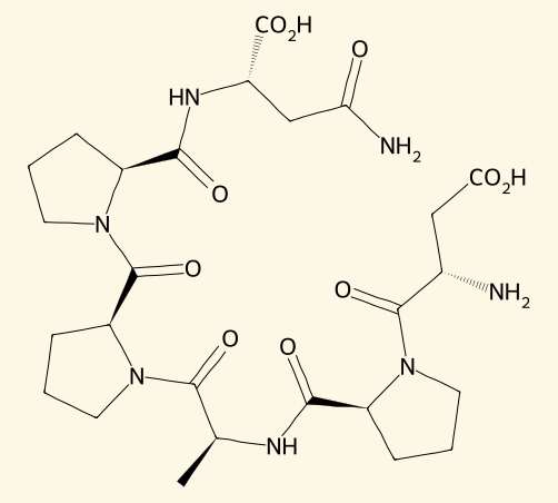 C[C@H](NC(=O)[C@@H]1CCCN1C(=O)[C@@H](N)CC(=O)O)C(=O)N1CCC[C@H]1C(=O)N1CCC[C@H]1C(=O)N[C@@H](CC(N)=O)C(=O)O